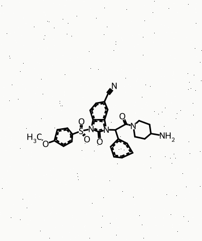 COc1ccc(S(=O)(=O)n2c(=O)n(C(C(=O)N3CCC(N)CC3)c3ccccc3)c3cc(C#N)ccc32)cc1